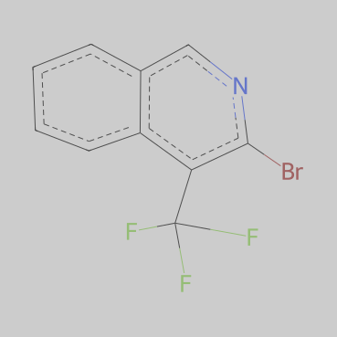 FC(F)(F)c1c(Br)ncc2ccccc12